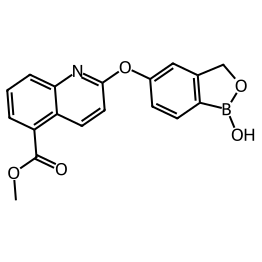 COC(=O)c1cccc2nc(Oc3ccc4c(c3)COB4O)ccc12